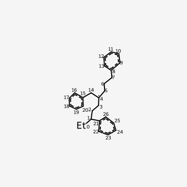 CCC(CC[C](CCCc1ccccc1)Cc1ccccc1)c1ccccc1